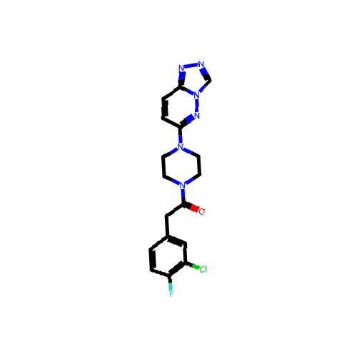 O=C(Cc1ccc(F)c(Cl)c1)N1CCN(c2ccc3nncn3n2)CC1